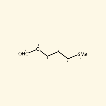 CSCCCOC=O